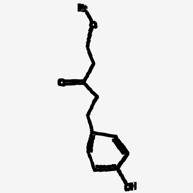 CCOCCC(=O)CCc1ccc(O)cc1